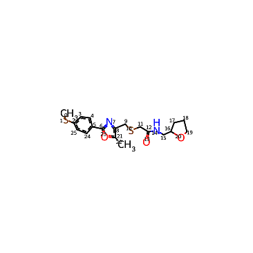 CSc1ccc(-c2nc(CSCC(=O)NCC3CCCO3)c(C)o2)cc1